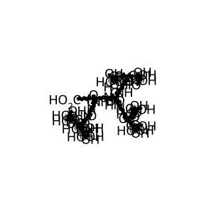 O=C(O)CCCCCNC(=O)[C@@H](CCCCNC(=O)CN(CC(=O)NCCCCCC(=O)N(CCO[C@H]1O[C@H](CO)[C@@H](O)[C@H](O)[C@@H]1O)CCO[C@H]1O[C@H](CO)[C@@H](O)[C@H](O)[C@@H]1O)CC(=O)NCCCCCC(=O)N(CCO[C@H]1O[C@H](CO)[C@@H](O)[C@H](O)[C@@H]1O)CCO[C@H]1O[C@H](CO)[C@@H](O)[C@H](O)[C@@H]1O)NC(=O)CCCCC(=O)NCCO[C@@H]1O[C@H](CO[C@H]2O[C@H](CO)[C@@H](O)[C@H](O)[C@@H]2O)[C@@H](O)[C@H](O[C@H]2O[C@H](CO)[C@@H](O)[C@H](O)[C@@H]2O)[C@@H]1O